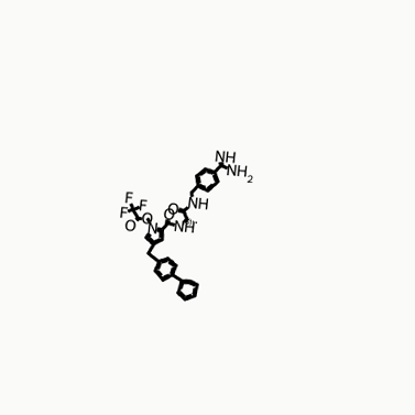 C[C@H](NC(=O)c1cc(Cc2ccc(-c3ccccc3)cc2)cn1OC(=O)C(F)(F)F)C(=O)NCc1ccc(C(=N)N)cc1